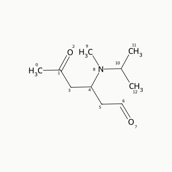 CC(=O)CC(CC=O)N(C)C(C)C